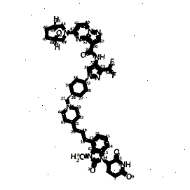 Cn1c(=O)n(C2CCC(=O)NC2=O)c2cccc(CCCC3CCN(C[C@H]4CC[C@H](n5cc(NC(=O)c6cnn7ccc(N8C[C@H]9CC[C@@H](C8)O9)nc67)c(C(F)F)n5)CC4)CC3)c21